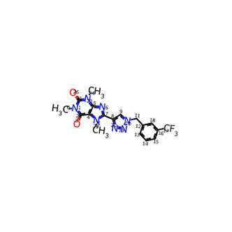 Cn1c(=O)c2c(nc(-c3cn(Cc4cccc(C(F)(F)F)c4)nn3)n2C)n(C)c1=O